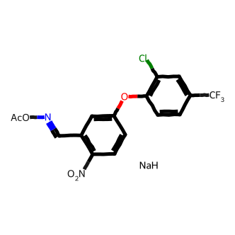 CC(=O)ON=Cc1cc(Oc2ccc(C(F)(F)F)cc2Cl)ccc1[N+](=O)[O-].[NaH]